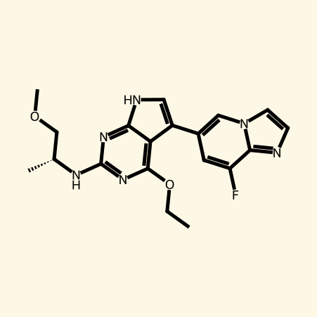 CCOc1nc(N[C@H](C)COC)nc2[nH]cc(-c3cc(F)c4nccn4c3)c12